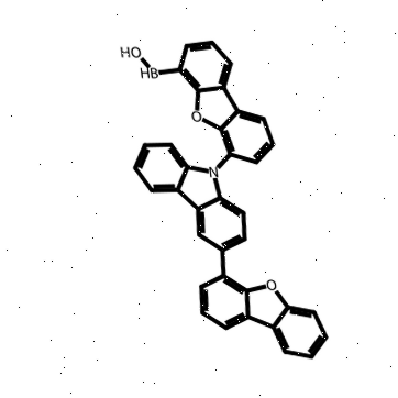 OBc1cccc2c1oc1c(-n3c4ccccc4c4cc(-c5cccc6c5oc5ccccc56)ccc43)cccc12